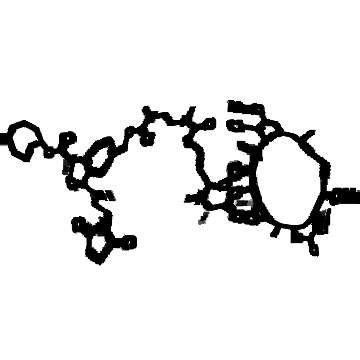 COc1cc2cc(c1Cl)N(C)C(=O)[C@H](OC(=O)[C@H](C)N(C)C(=O)CCSC(=O)N(C)CCN(C)C(=O)OCc1ccc(NC(=O)OC3/C=C/CCCCC3)c(C(=O)NCCN3C(=O)C=CC3=O)c1)[C@]1(C)OC1[C@H](C)[C@@H]1C[C@@](O)(NC(=O)O1)[C@H](OC)/C=C/C=C(\C)C2